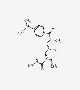 C=C/C(=C\C(C)=C\[C@@H](C)C(=O)c1ccc(N(C)C)cc1)C(=O)NO